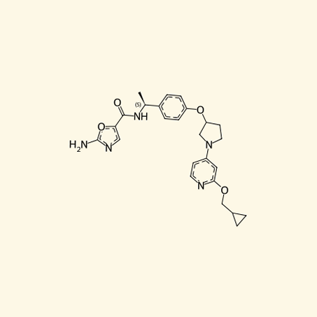 C[C@H](NC(=O)c1cnc(N)o1)c1ccc(OC2CCN(c3ccnc(OCC4CC4)c3)C2)cc1